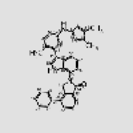 Cc1cnc(Nc2cc(C)n(C)n2)nc1-c1c[nH]c2c(N3Cc4c(-c5ccccc5)ccnc4C3=O)cccc12